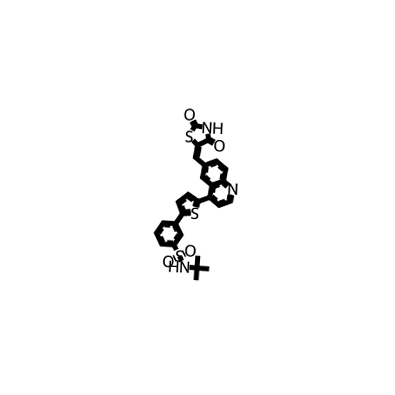 CC(C)(C)NS(=O)(=O)c1cccc(-c2ccc(-c3ccnc4ccc(/C=C5/SC(=O)NC5=O)cc34)s2)c1